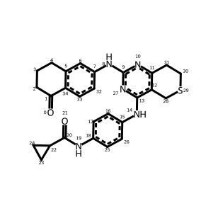 O=C1CCCc2cc(Nc3nc4c(c(Nc5ccc(NC(=O)C6CC6)cc5)n3)CSCC4)ccc21